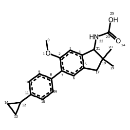 COc1cc2c(cc1-c1ccc(C3CC3)cc1)CC(C)(C)C2NC(=O)O